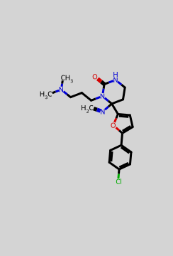 C=NC1(c2ccc(-c3ccc(Cl)cc3)o2)CCNC(=O)N1CCCN(C)C